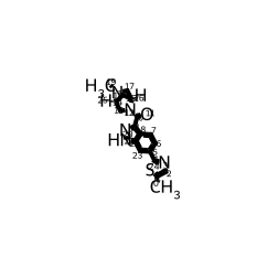 Cc1cnc(-c2ccc3c(C(=O)N4C[C@@H]5C[C@H]4CN5C)n[nH]c3c2)s1